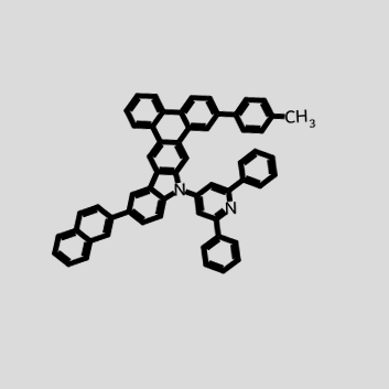 Cc1ccc(-c2ccc3c4ccccc4c4cc5c6cc(-c7ccc8ccccc8c7)ccc6n(-c6cc(-c7ccccc7)nc(-c7ccccc7)c6)c5cc4c3c2)cc1